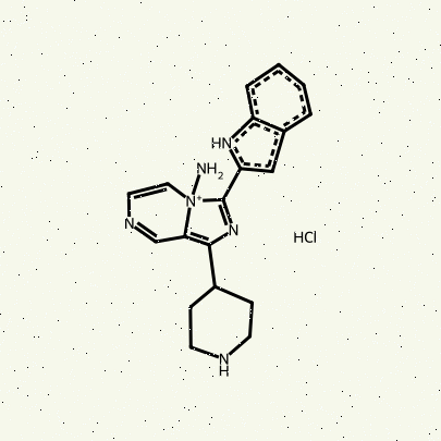 Cl.N[N+]12C=CN=CC1=C(C1CCNCC1)N=C2c1cc2ccccc2[nH]1